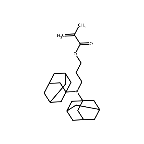 C=C(C)C(=O)OCCCP(C12CC3CC(CC(C3)C1)C2)C12CC3CC(CC(C3)C1)C2